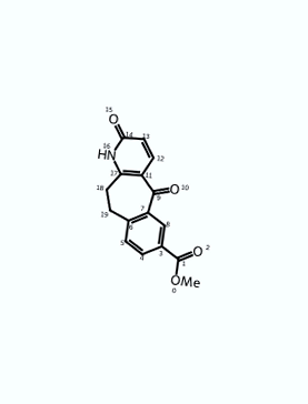 COC(=O)c1ccc2c(c1)C(=O)c1ccc(=O)[nH]c1CC2